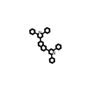 c1ccc(-c2cc(-c3ccc4ccc(-c5cc(-c6ccccc6)nc(-c6ccccc6)c5)cc4c3)cc(-c3ccccc3)n2)cc1